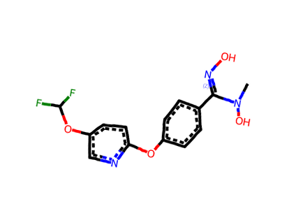 CN(O)/C(=N\O)c1ccc(Oc2ccc(OC(F)F)cn2)cc1